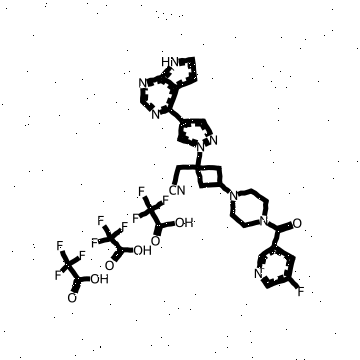 N#CCC1(n2cc(-c3ncnc4[nH]ccc34)cn2)CC(N2CCN(C(=O)c3cncc(F)c3)CC2)C1.O=C(O)C(F)(F)F.O=C(O)C(F)(F)F.O=C(O)C(F)(F)F